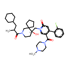 CC(CC1CCCCC1)C(=O)N1CC[C@@](O)(Cn2cc(C(=O)N3CCN(C(=O)O)CC3)c(-c3ccccc3F)cc2=O)C2(CCCC2)C1